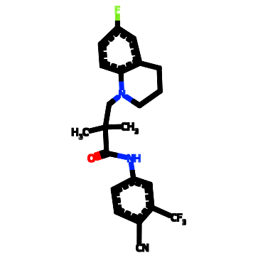 CC(C)(CN1CCCc2cc(F)ccc21)C(=O)Nc1ccc(C#N)c(C(F)(F)F)c1